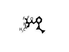 Cn1cc(C(=O)Cc2ccccc2C2CC2C2CC2)c(C(F)F)n1